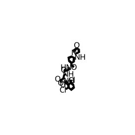 COc1ccc(Nc2cccc(C(=O)NCC(=O)NCC(NC(=O)c3c(Cl)cccc3Cl)C(=O)O)c2)nc1